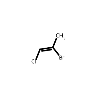 CC(Br)=CCl